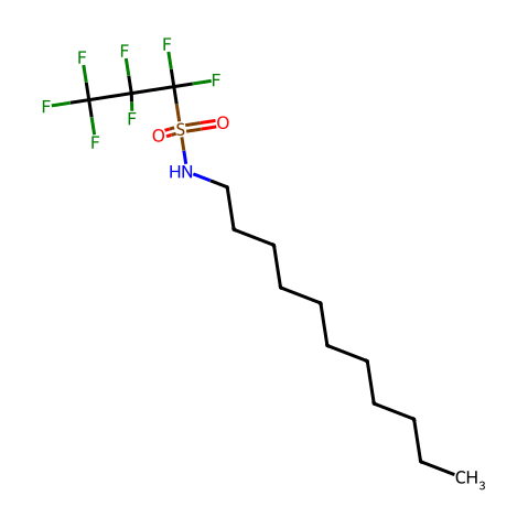 CCCCCCCCCCCNS(=O)(=O)C(F)(F)C(F)(F)C(F)(F)F